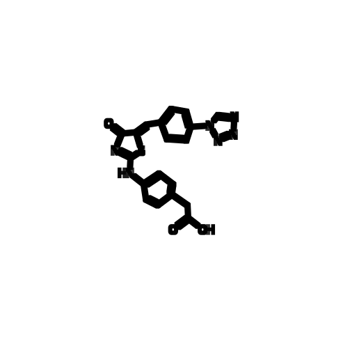 O=C(O)Cc1ccc(NC2=NC(=O)/C(=C/c3ccc(-n4cnnn4)cc3)S2)cc1